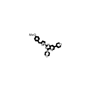 COc1ccc(Cc2ccn(-c3nc(N4CCOCC4)c4ncc(C5=CCOCC5)cc4n3)n2)cc1